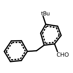 CC(C)(C)c1ccc(C=O)c(Cc2ccccc2)c1